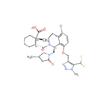 CC1CC(=O)N(C[C@@H]2c3c(OCc4nnn(C)c4C(F)F)ccc(Cl)c3CCN2C(=O)[C@@H]2CCCC[C@]2(C)C(=O)O)C1